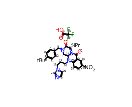 CC(C)[C@H]1C(=O)N(Cc2ccc(C(C)(C)C)cc2)CC2N(CCCn3ccnc3)c3ccc([N+](=O)[O-])cc3C(=O)N21.O=C(O)C(F)(F)F